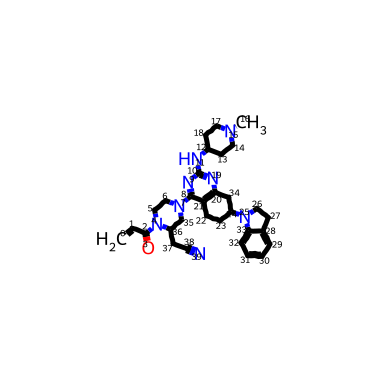 C=CC(=O)N1CCN(c2nc(NC3CCN(C)CC3)nc3c2CCC(N2CCc4ccccc42)C3)CC1CC#N